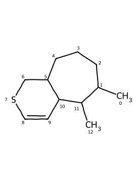 CC1CCCC2CSC=CC2C1C